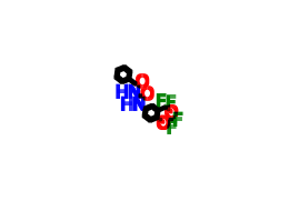 O=C(NC(=O)c1ccccc1)Nc1ccc2c(c1)C(F)(F)OC(F)(F)O2